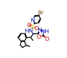 CC1CCc2cccc(C(C)C(NS(=O)(=O)c3ccc(Br)cn3)c3n[nH]c(=O)o3)c21